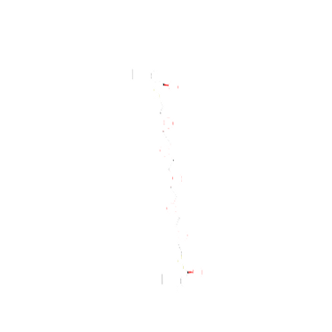 CC(=O)SCCOCCOCCOCCOCCOCCSC(C)=O